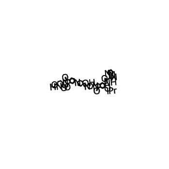 CC(C)Oc1cc2c(cc1NC(=O)c1cnn3cccnc13)CN(C1CCN(CC3(O)CCN(c4ccc5c(c4)C(=O)N(C4CCC(=O)NC4=O)C5=O)CC3)CC1)C2=O